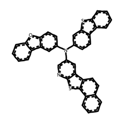 c1ccc2c(c1)ccc1c3cc(N(c4ccc5c(c4)sc4ccccc45)c4ccc5oc6ccccc6c5c4)cnc3sc21